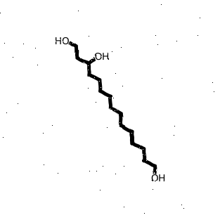 OCCCCCCCCCCCCC(O)CCO